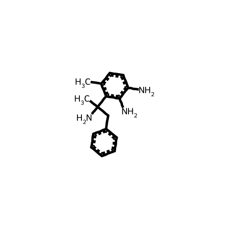 Cc1ccc(N)c(N)c1C(C)(N)Cc1ccccc1